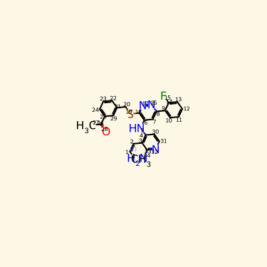 C/C=C\c1c(Nc2cc(-c3ccccc3F)nnc2SCc2cccc(C(C)=O)c2)ccnc1N